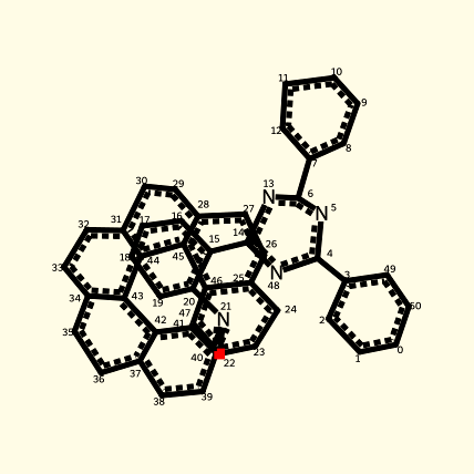 c1ccc(-c2nc(-c3ccccc3)nc(-c3ccccc3-n3c4ccc5ccc6ccc7ccc8ccc9ccc3c3c9c8c7c6c5c34)n2)cc1